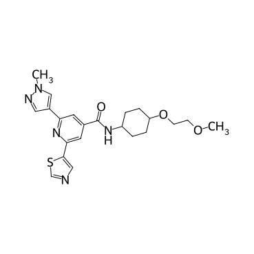 COCCOC1CCC(NC(=O)c2cc(-c3cnn(C)c3)nc(-c3cncs3)c2)CC1